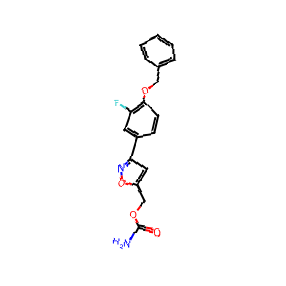 NC(=O)OCc1cc(-c2ccc(OCc3ccccc3)c(F)c2)no1